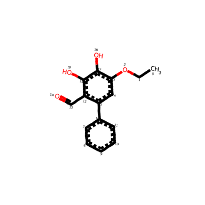 CCOc1cc(-c2ccccc2)c(C=O)c(O)c1O